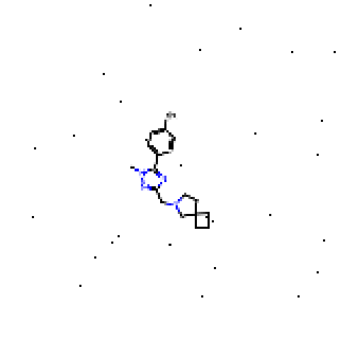 Cn1nc(CN2CCC3(CCC3)C2)nc1-c1ccc(C(C)(C)C)cc1